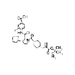 CC(C)(C)OC(=O)NC[C@H]1CC[C@H](C(=O)N2CC[C@@H](C3CCCCC3)[C@H]2C(=O)Nc2ccc(C(=O)O)cc2F)CC1